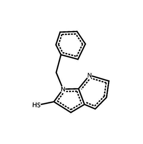 Sc1cc2cccnc2n1Cc1ccccc1